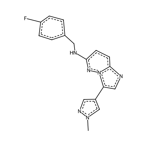 Cn1cc(-c2cnc3ccc(NCc4ccc(F)cc4)nn23)cn1